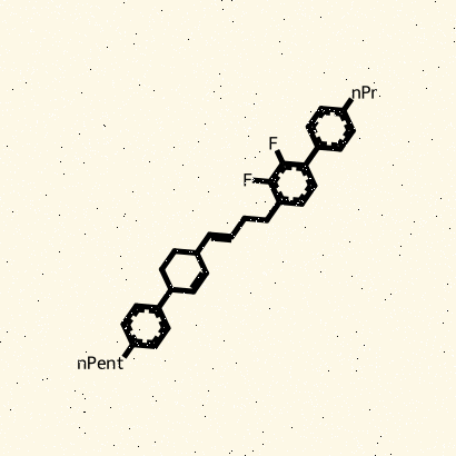 CCCCCc1ccc(C2C=CC(/C=C/CCc3ccc(-c4ccc(CCC)cc4)c(F)c3F)CC2)cc1